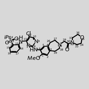 COc1cc2c(cc1Nc1ncc(Cl)c(Nc3ccccc3S(=O)(=O)C(C)C)n1)CCN(CC(=O)N1CCOCC1)CC2